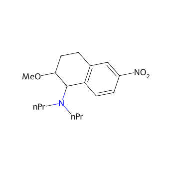 CCCN(CCC)C1c2ccc([N+](=O)[O-])cc2CCC1OC